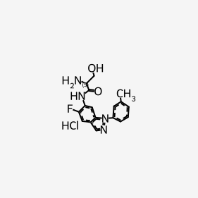 Cc1cccc(-n2ncc3cc(F)c(NC(=O)[C@@H](N)CO)cc32)c1.Cl